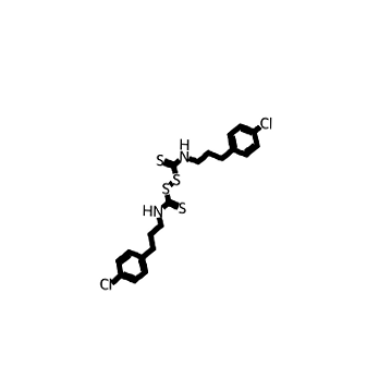 S=C(NCCCc1ccc(Cl)cc1)SSC(=S)NCCCc1ccc(Cl)cc1